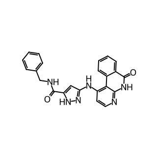 O=C(NCc1ccccc1)c1cc(Nc2ccnc3[nH]c(=O)c4ccccc4c23)n[nH]1